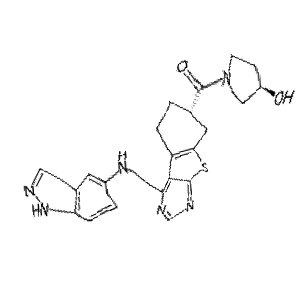 O=C([C@H]1CCc2c(sc3ncnc(Nc4ccc5[nH]ncc5c4)c23)C1)N1CC[C@@H](O)C1